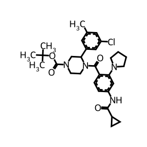 Cc1cc(Cl)cc(C2CN(C(=O)OC(C)(C)C)CCN2C(=O)c2ccc(NC(=O)C3CC3)cc2N2CCCC2)c1